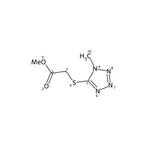 COC(=O)CSc1nnnn1C